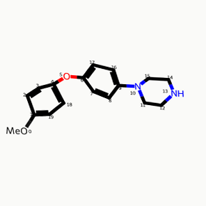 COc1ccc(Oc2ccc(N3CCNCC3)cc2)cc1